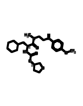 CN(CCNc1ccc(OC(F)(F)F)cc1)C(=O)[C@H](CC1CCCCC1)NC(=O)O[C@@H]1CCOC1